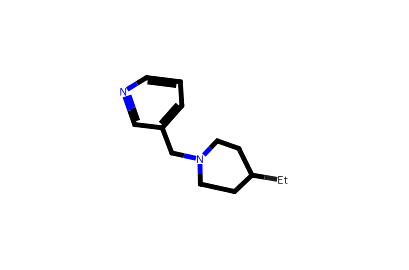 CCC1CCN(Cc2cccnc2)CC1